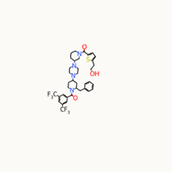 O=C(c1ccc(CCO)s1)N1CCCC(N2CCN(C3CCN(C(=O)c4cc(C(F)(F)F)cc(C(F)(F)F)c4)C(Cc4ccccc4)C3)CC2)C1